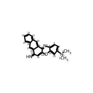 CN(C)c1ccc2nc3c4cc5ccccc5cc4c(=N)cc-3oc2c1